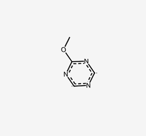 COc1n[c]n[c]n1